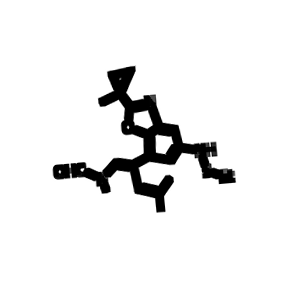 CCSNc1cc(/C(C=C(C)C)=C/N(C)C=O)c2oc(C3(C)CC3)nc2c1